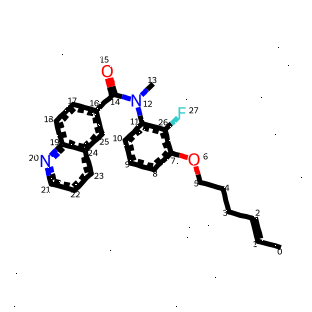 CC=CCCCOc1cccc(N(C)C(=O)c2ccc3ncccc3c2)c1F